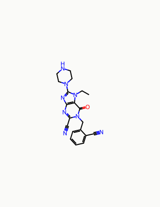 CCn1c(N2CCNCC2)nc2nc(C#N)n(Cc3ccccc3C#N)c(=O)c21